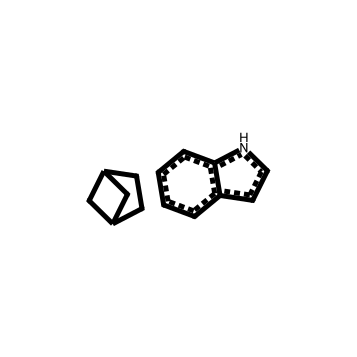 C1CC2CC1C2.c1ccc2[nH]ccc2c1